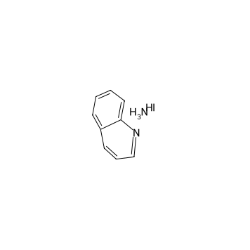 I.N.c1ccc2ncccc2c1